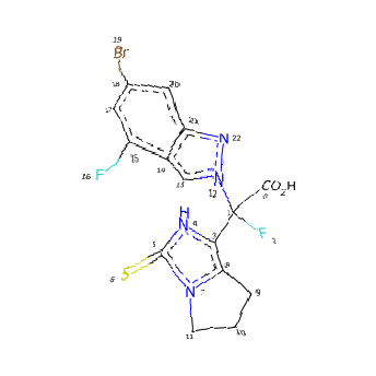 O=C(O)C(F)(c1[nH]c(=S)n2c1CCC2)n1cc2c(F)cc(Br)cc2n1